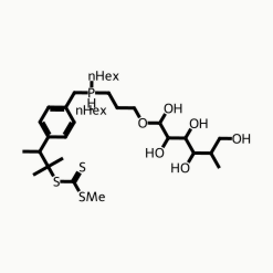 CCCCCC[PH](CCCCCC)(CCCOC(O)C(O)C(O)C(O)C(C)CO)Cc1ccc(C(C)C(C)(C)SC(=S)SC)cc1